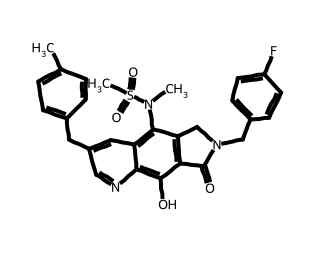 Cc1ccc(Cc2cnc3c(O)c4c(c(N(C)S(C)(=O)=O)c3c2)CN(Cc2ccc(F)cc2)C4=O)cc1